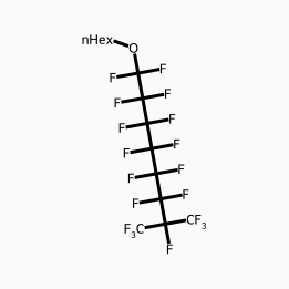 CCCCCCOC(F)(F)C(F)(F)C(F)(F)C(F)(F)C(F)(F)C(F)(F)C(F)(C(F)(F)F)C(F)(F)F